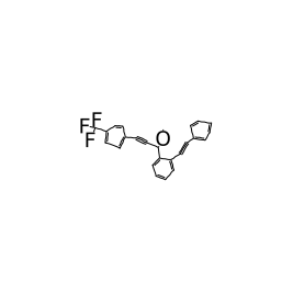 COC(C#Cc1ccc(C(F)(F)F)cc1)c1ccccc1C#Cc1ccccc1